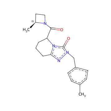 Cc1ccc(Cn2nc3n(c2=O)C(C(=O)N2CC[C@@H]2C)CCC3)cc1